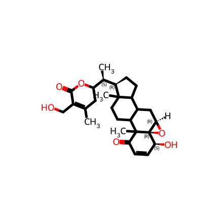 CC1=C(CO)C(=O)OC([C@@H](C)[C@H]2CCC3C4C[C@H]5O[C@]56[C@@H](O)C=CC(=O)C6(C)C4CCC32C)C1